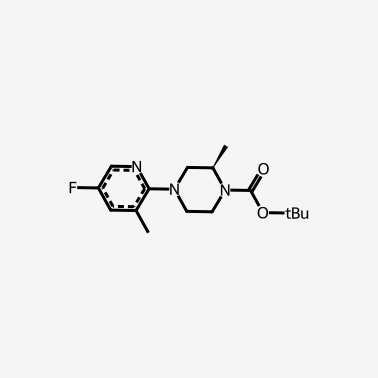 Cc1cc(F)cnc1N1CCN(C(=O)OC(C)(C)C)[C@H](C)C1